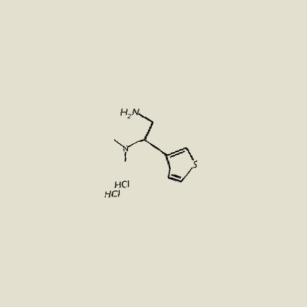 CN(C)C(CN)c1ccsc1.Cl.Cl